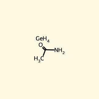 CC(N)=O.[GeH4]